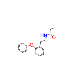 CCC(=O)NCCc1ccccc1Oc1ccccc1